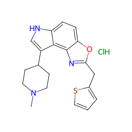 CN1CCC(c2c[nH]c3ccc4oc(Cc5cccs5)nc4c23)CC1.Cl